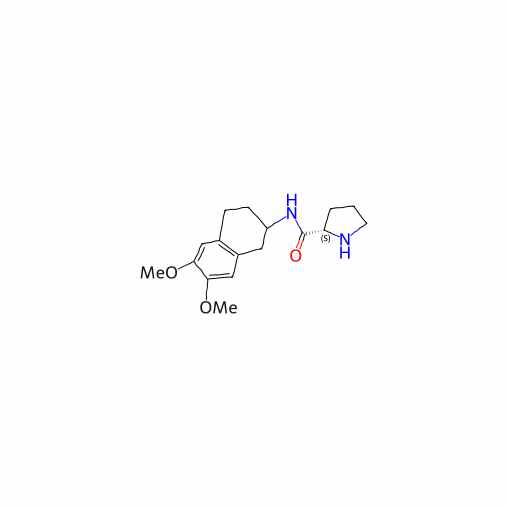 COc1cc2c(cc1OC)CC(NC(=O)[C@@H]1CCCN1)CC2